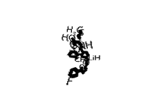 CSCC[C@H](NC(=O)c1ccc(COCc2ccc(-c3cccc(F)c3)o2)cc1-c1ccccc1C)C(=O)O.[LiH]